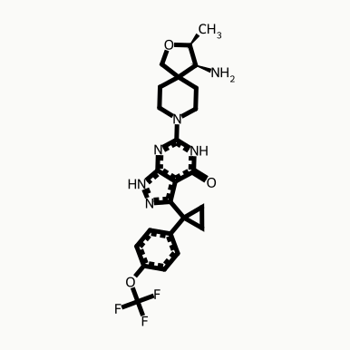 C[C@@H]1OCC2(CCN(c3nc4[nH]nc(C5(c6ccc(OC(F)(F)F)cc6)CC5)c4c(=O)[nH]3)CC2)[C@@H]1N